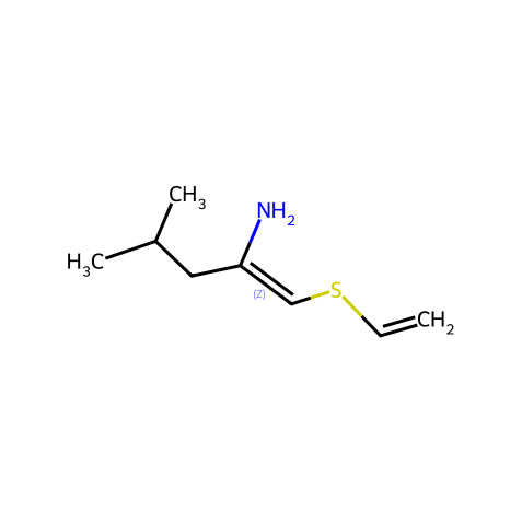 C=CS/C=C(\N)CC(C)C